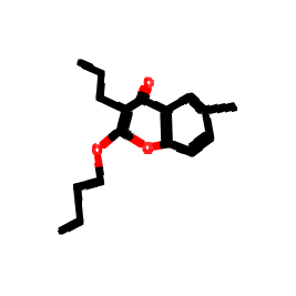 CCCCOc1oc2ccc(C)cc2c(=O)c1CCC